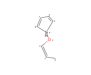 C/C=C\O[SiH]1C=CC=C1